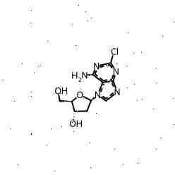 Nc1nc(Cl)nc2ncn([C@H]3C[C@H](O)[C@@H](CO)O3)c12